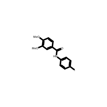 COc1ccc(C(=O)Nc2ccc(I)cc2)cc1OC